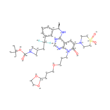 C[C@@H](Nc1ncnc2c1cc(N1CCS(=O)(=O)CC1)c(=O)n2CCCOCCCC1OCCO1)c1cccc(C(F)(F)CC2CN(C(=O)OC(C)(C)C)C2)c1